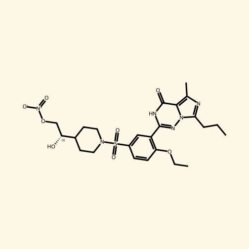 CCCc1nc(C)c2c(=O)[nH]c(-c3cc(S(=O)(=O)N4CCC([C@H](O)CO[N+](=O)[O-])CC4)ccc3OCC)nn12